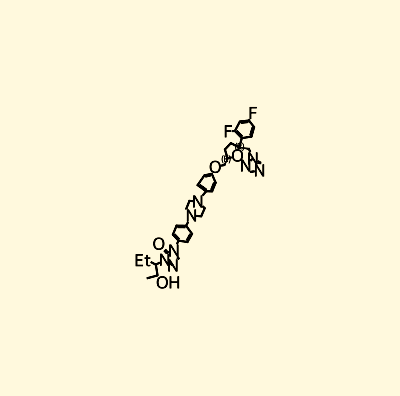 CCC(C(C)O)n1ncn(-c2ccc(N3CCN(c4ccc(OC[C@H]5CC[C@](Cn6cncn6)(c6ccc(F)cc6F)O5)cc4)CC3)cc2)c1=O